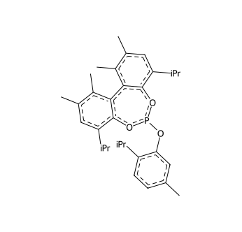 Cc1ccc(C(C)C)c(Op2oc3c(C(C)C)cc(C)c(C)c3c3c(C)c(C)cc(C(C)C)c3o2)c1